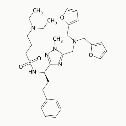 CCN(CC)CCCS(=O)(=O)N[C@H](CCc1ccccc1)c1nc(CN(Cc2ccco2)Cc2ccco2)n(C)n1